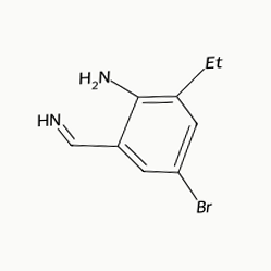 CCc1cc(Br)cc(C=N)c1N